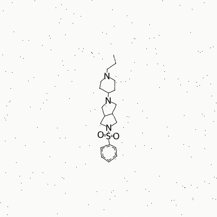 CCCN1CCC(N2CC3CN(S(=O)(=O)c4ccccc4)CC3C2)CC1